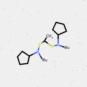 CCC(C)N(SC(C)SN(C(C)CC)C1CCCC1)C1CCCC1